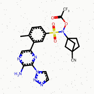 Cc1ccc(S(=O)(=O)N(OC(=O)C(F)(F)F)C23CCC(C#N)(C2)C3)cc1-c1cnc(N)c(-n2ccnn2)n1